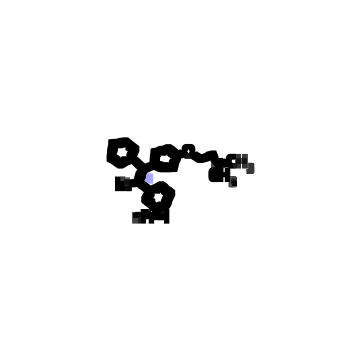 CC/C(=C(\c1ccccc1)c1ccc(OCCN(C)C)cc1)c1ccccc1.CCCI